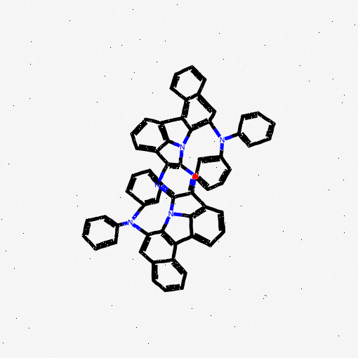 c1ccc(N(c2ccccc2)c2cc3ccccc3c3c4cccc5c6nc7c(nc6n(c23)c54)c2cccc3c4c5ccccc5cc(N(c5ccccc5)c5ccccc5)c4n7c23)cc1